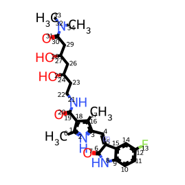 Cc1[nH]c(/C=C2\C(=O)Nc3ccc(F)cc32)c(C)c1C(=O)NCCC(O)CC(O)CC(=O)N(C)C